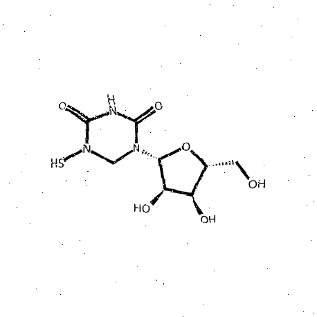 O=C1NC(=O)N([C@@H]2O[C@H](CO)[C@@H](O)[C@H]2O)CN1S